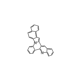 c1ccc2nc3c4ccccc4n4c5ccc6ccccc6c5cc4c3cc2c1